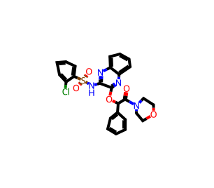 O=C(C(Oc1nc2ccccc2nc1NS(=O)(=O)c1ccccc1Cl)c1ccccc1)N1CCOCC1